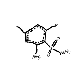 Nc1cc(F)cc(F)c1S(N)(=O)=O